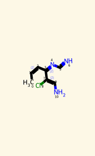 C\C=C/C(=N/C=N)C(/Cl)=C/N